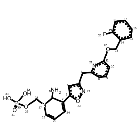 NC1C(c2cc(Cc3cccc(OCc4ccccc4F)n3)no2)=CC=CN1COP(=O)(O)O